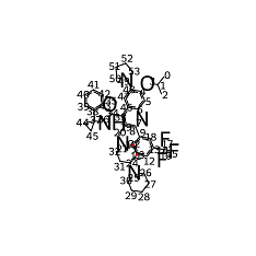 CC(C)Oc1cc2nc(-c3cccc(C(F)(F)F)c3)c(CN3CCC(N4CCCCC4)CC3)c(C(=O)NC3(c4ccccc4)CC3)c2cc1N1CCCC1